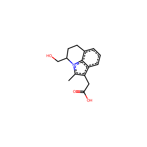 Cc1c(CC(=O)O)c2cccc3c2n1C(CO)CC3